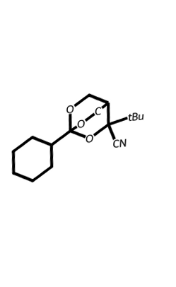 CC(C)(C)C1(C#N)OC2(C3CCCCC3)OCC1CO2